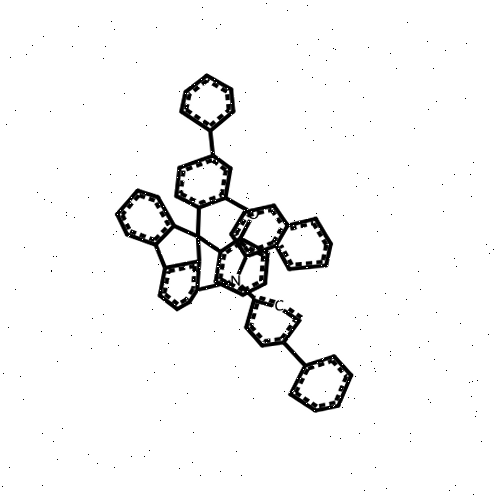 c1ccc(-c2ccc(N(c3cccc4c3C3(c5ccccc5Oc5cc(-c6ccccc6)ccc53)c3ccccc3-4)c3cccc4ccccc34)cc2)cc1